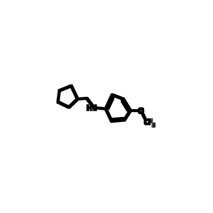 FC(F)(F)Oc1ccc(NCC2CCCC2)cc1